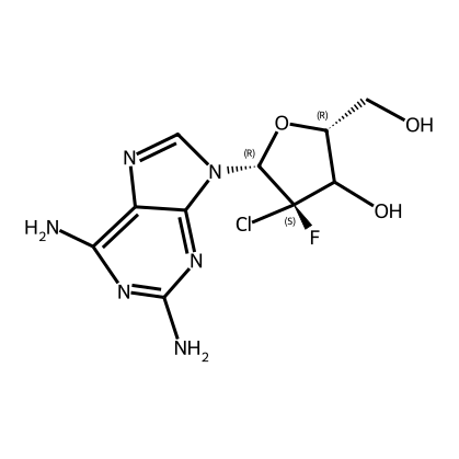 Nc1nc(N)c2ncn([C@@H]3O[C@H](CO)C(O)[C@]3(F)Cl)c2n1